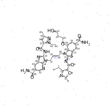 CCc1nc(C)oc1C(=O)/N=c1\sc2cc(C(N)=O)cc(OCCCO)c2n1C/C=C/Cn1c(NC(=O)c2cc(C)nn2CC)nc2cc(C(N)=O)cnc21